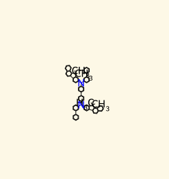 CC1(C)c2cc(N(c3ccc(-c4ccc(N(c5cccc(-c6ccccc6)c5)c5ccc6c(c5)C(C)(C)c5c-6ccc6ccccc56)cc4)cc3)c3cccc(-c4ccccc4)c3)ccc2-c2ccc3ccccc3c21